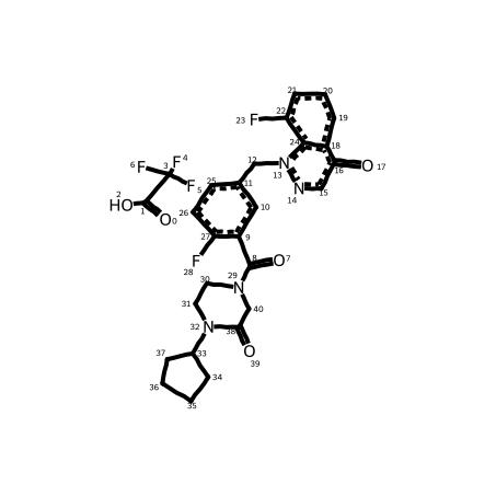 O=C(O)C(F)(F)F.O=C(c1cc(Cn2ncc(=O)c3cccc(F)c32)ccc1F)N1CCN(C2CCCC2)C(=O)C1